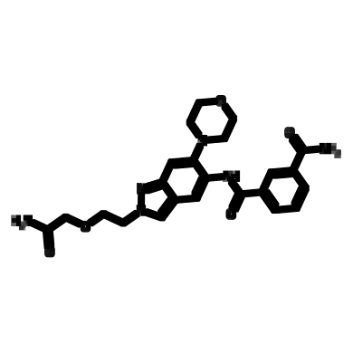 NC(=O)COCCn1cc2cc(NC(=O)c3cccc(C(N)=O)c3)c(N3CCOCC3)cc2n1